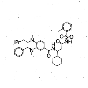 Cc1ccccc1S(=O)(=O)NC(=O)CC(NC(=O)c1ccc(N(C)CCC(C)C)c(N(C)Cc2ccccc2)c1)C1CCCCC1